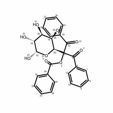 O=C(OC(C(=O)c1ccccc1)(C(=O)c1ccccc1)[C@H]1O[C@H](O)[C@H](O)[C@@H](O)[C@H]1O)c1ccccc1